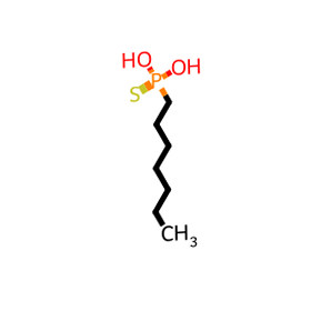 CCCCCCCP(O)(O)=S